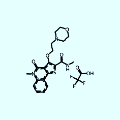 CNC(=O)c1sc2c(c1OCCN1CCOCC1)c(=O)n(C)c1ccccc21.O=C(O)C(F)(F)F